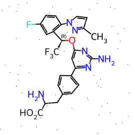 Cc1ccn(-c2ccc(F)cc2[C@@H](Oc2cc(-c3ccc(CC(N)C(=O)O)cc3)nc(N)n2)C(F)(F)F)n1